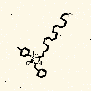 CC/C=C\C/C=C\C/C=C\C/C=C\C/C=C\C/C=C\CCC(=O)NC(Cc1ccccc1)C(=O)Nc1ccc(C)cc1